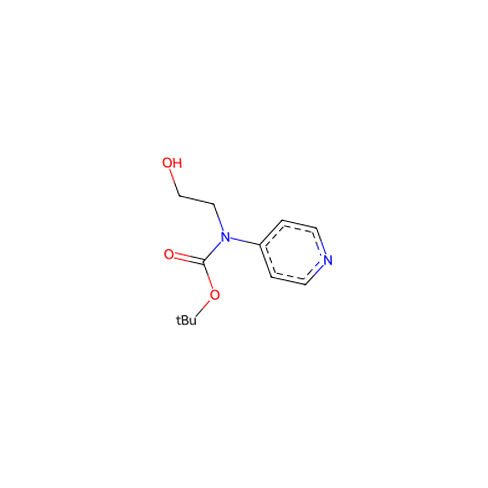 CC(C)(C)OC(=O)N(CCO)c1ccncc1